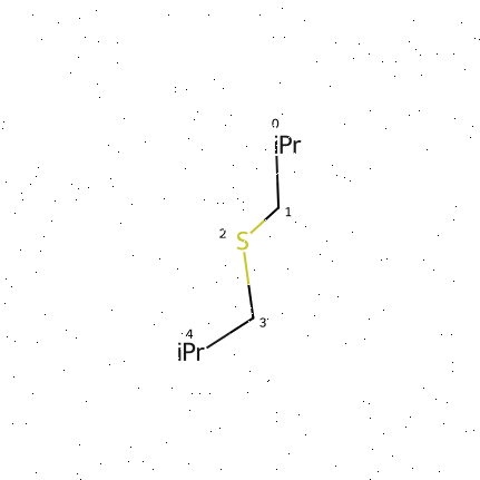 [CH2]C(C)CSCC(C)C